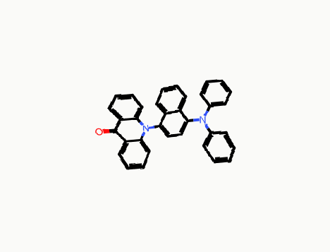 O=c1c2ccccc2n(-c2ccc(N(c3ccccc3)c3ccccc3)c3ccccc23)c2ccccc12